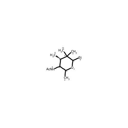 CCC1OC(C)C(NC(C)=O)[C@@H](C)C1(C)C